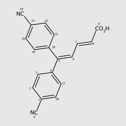 N#Cc1ccc(C(=C/C=C/C(=O)O)c2ccc(C#N)cc2)cc1